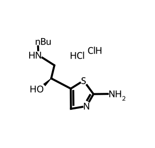 CCCCNC[C@H](O)c1cnc(N)s1.Cl.Cl